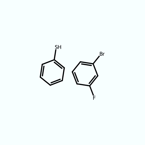 Fc1cccc(Br)c1.Sc1ccccc1